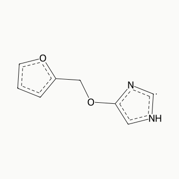 [c]1nc(OCc2ccco2)c[nH]1